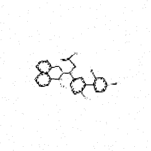 Cc1ccc([C@H](CC(=O)O)N(Cc2ccccc2)[C@H](C)c2ccccc2)cc1-c1ccc(F)cc1F